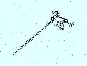 COCCOCCOCCOCCOCCOCCOCCOCCOCCOCCOCCOc1ccc(C[C@@H](C(=O)NCCCCc2ccc(COC(=O)C(C)C)c(O[C@@H]3O[C@H](C(=O)O)[C@@H](O)[C@H](O)[C@H]3O)c2)N2C(=O)C=CC2=O)cc1